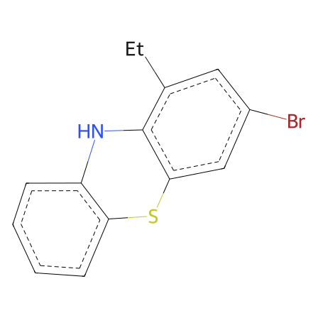 CCc1cc(Br)cc2c1Nc1ccccc1S2